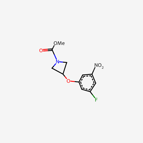 COC(=O)N1CC(Oc2cc(F)cc([N+](=O)[O-])c2)C1